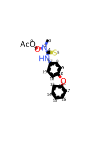 CC(=O)OON(C)C(=S)Nc1ccc(Oc2ccccc2)cc1